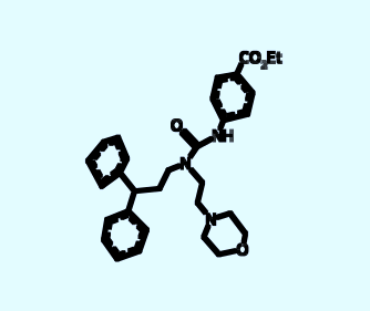 CCOC(=O)c1ccc(NC(=O)N(CCC(c2ccccc2)c2ccccc2)CCN2CCOCC2)cc1